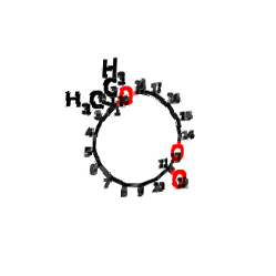 CC1(C)CCCCCCCCC(=O)OCCCCCO1